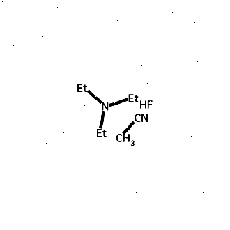 CC#N.CCN(CC)CC.F